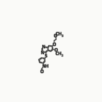 COCCOc1cc2ncnc(Sc3cccc(NC=O)c3)c2cc1OC